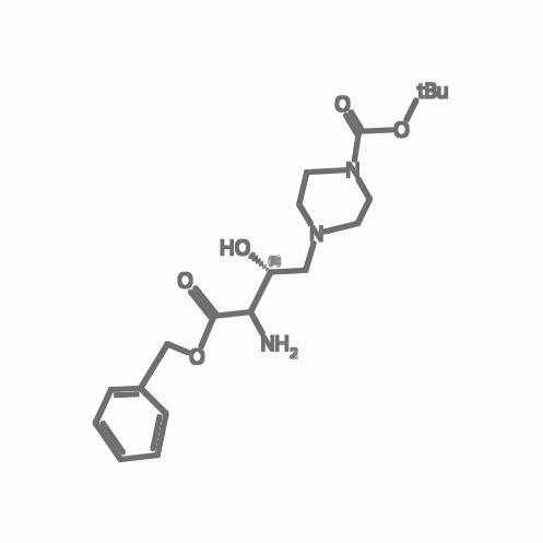 CC(C)(C)OC(=O)N1CCN(C[C@@H](O)C(N)C(=O)OCc2ccccc2)CC1